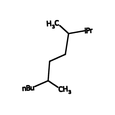 CCCCC(C)CCC(C)C(C)C